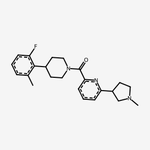 Cc1cccc(F)c1C1CCN(C(=O)c2cccc(C3CCN(C)C3)n2)CC1